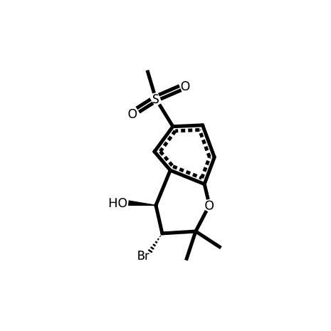 CC1(C)Oc2ccc(S(C)(=O)=O)cc2[C@H](O)[C@H]1Br